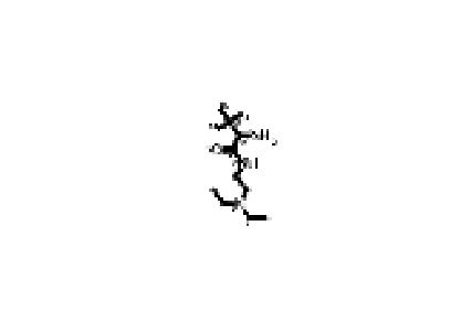 CCN(CC)CCNC(=O)C(N)C(C)(C)C